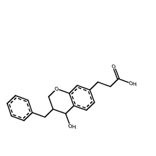 O=C(O)CCc1ccc2c(c1)OCC(Cc1ccccc1)C2O